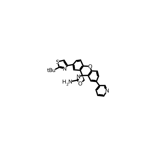 CC(C)(C)c1nc(-c2ccc3c(c2)[C@]2(COC(N)=N2)c2cc(-c4cccnc4)ccc2O3)cs1